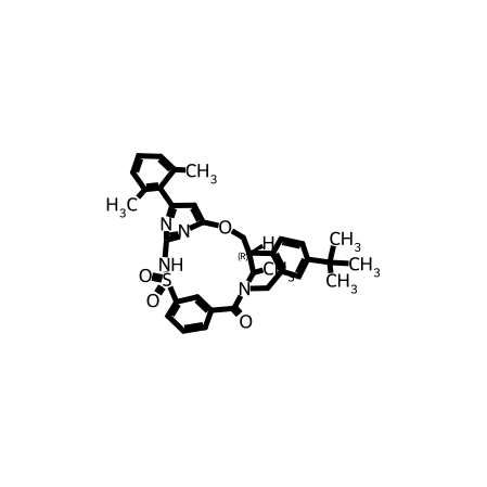 Cc1cccc(C)c1-c1cc2nc(n1)NS(=O)(=O)c1cccc(c1)C(=O)N1Cc3cc(C(C)(C)C)ccc3[C@@H](CO2)C1C